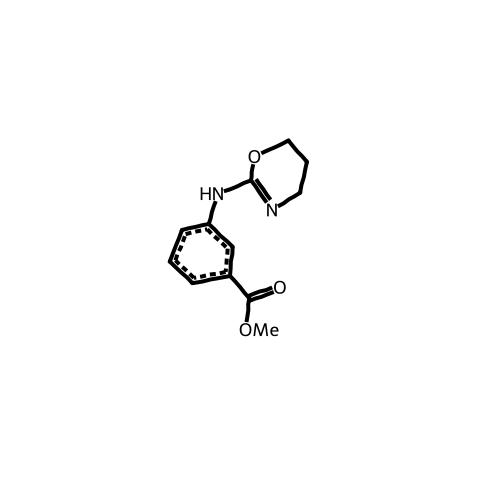 COC(=O)c1cccc(NC2=NCCCO2)c1